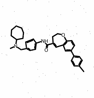 Cc1ccc(-c2ccc3c(c2)C=C(C(=O)Nc2ccc(CN(C)C4CCCCCC4)cc2)CCO3)cc1